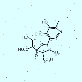 Cc1ncc(COP(=O)(C(CN)C(=O)O)C(CN)C(=O)O)c(C=O)c1O